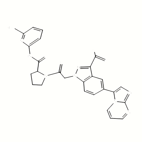 CC(=O)c1nn(CC(=O)N2CCCC2C(=O)Nc2cccc(C)n2)c2ccc(-c3cnc4ncccn34)cc12